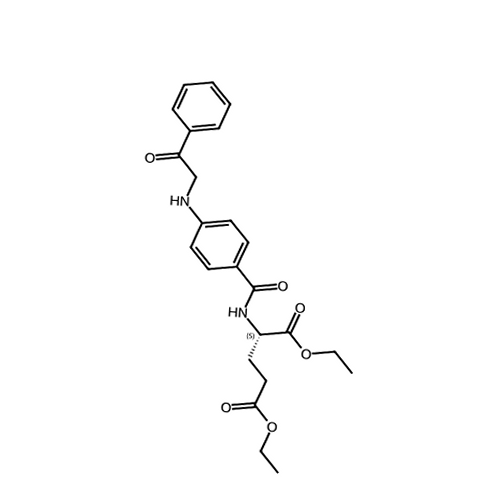 CCOC(=O)CC[C@H](NC(=O)c1ccc(NCC(=O)c2ccccc2)cc1)C(=O)OCC